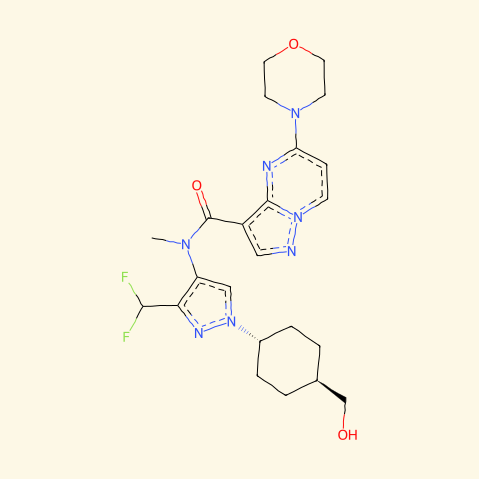 CN(C(=O)c1cnn2ccc(N3CCOCC3)nc12)c1cn([C@H]2CC[C@H](CO)CC2)nc1C(F)F